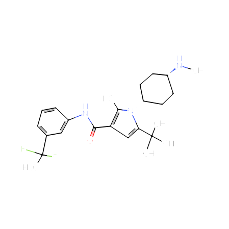 CN[C@H]1CC[C@H](n2c(C(C)(C)C)cc(C(=O)Nc3cccc(C(C)(F)F)c3)c2C)CC1